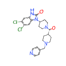 O=C(C1CCN(Cc2ccncc2)CC1)N1CCC(n2c(=O)[nH]c3cc(Cl)c(Cl)cc32)CC1